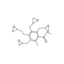 CCC(=O)c1c(C)c(CC2CO2)c(CCC2CO2)c(CC2CO2)c1CC1CO1